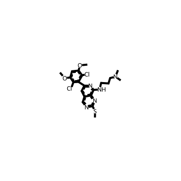 COc1cc(OC)c(Cl)c(-c2cc3cnc(SC)nc3c(NCCCN(C)C)n2)c1Cl